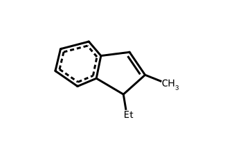 CCC1C(C)=Cc2ccccc21